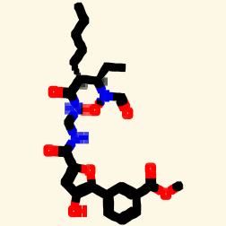 CCCCC[C@@H](C(=O)NCNC(=O)c1cc(O)c(-c2cccc(C(=O)OC)c2)o1)[C@@H](CC)N(O)C=O